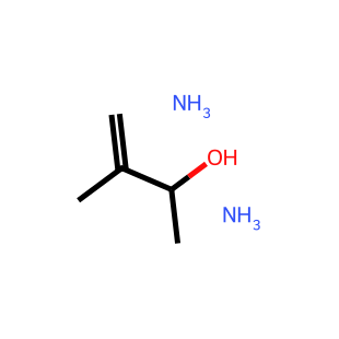 C=C(C)C(C)O.N.N